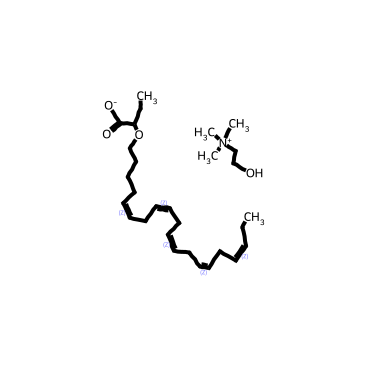 CC/C=C\C/C=C\C/C=C\C/C=C\C/C=C\CCCCOC(CC)C(=O)[O-].C[N+](C)(C)CCO